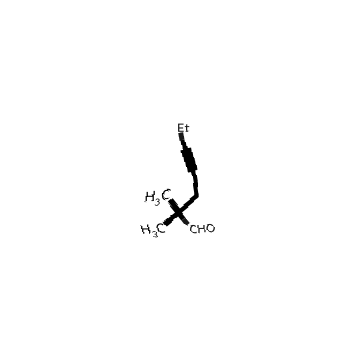 CCC#CCC(C)(C)C=O